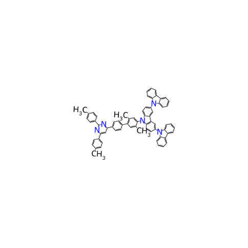 Cc1ccc(-c2cc(-c3ccc(-c4cc(C)c(-n5c6ccc(-n7c8ccccc8c8ccccc87)cc6c6cc(-n7c8ccccc8c8ccccc87)ccc65)cc4C)cc3)nc(-c3ccc(C)cc3)n2)cc1